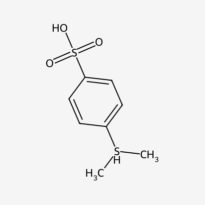 C[SH](C)c1ccc(S(=O)(=O)O)cc1